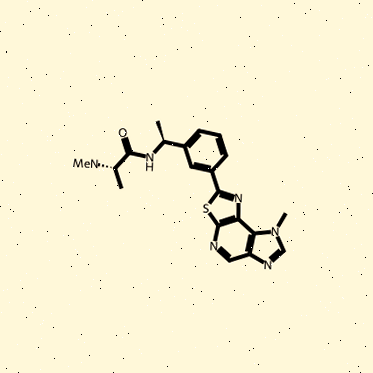 CN[C@@H](C)C(=O)N[C@@H](C)c1cccc(-c2nc3c(ncc4ncn(C)c43)s2)c1